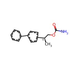 C[C@H](COC(N)=O)c1ccc(-c2ccccc2)cc1